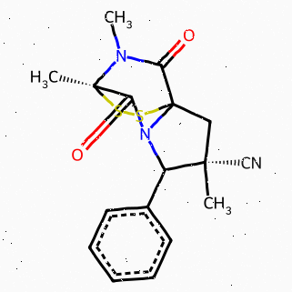 CN1C(=O)C23C[C@](C)(C#N)C(c4ccccc4)N2C(=O)[C@@]1(C)SS3